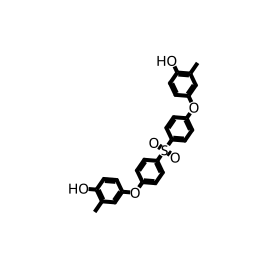 Cc1cc(Oc2ccc(S(=O)(=O)c3ccc(Oc4ccc(O)c(C)c4)cc3)cc2)ccc1O